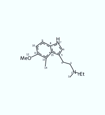 CCN(C)CCc1c[nH]c2ccc(OC)c(C)c12